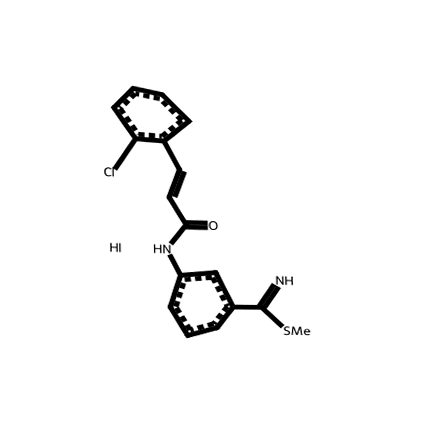 CSC(=N)c1cccc(NC(=O)C=Cc2ccccc2Cl)c1.I